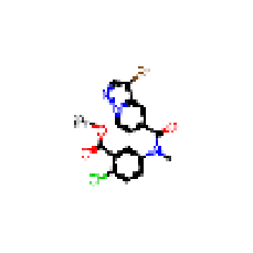 CC(C)OC(=O)c1cc(N(C)C(=O)c2ccn3ncc(Br)c3c2)ccc1Cl